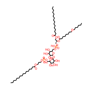 CCCCCCCCCCCCCCCC(=O)OCCCOP(=O)(O)OCC1OC(OC2OC(COP(=O)(O)OC[C@@H](COC(=O)CCCCCCCCCCCCCCC)OC(=O)CCCCCCCOCCCCCC)C(O)C(O)C2O)C(O)C(O)C1O